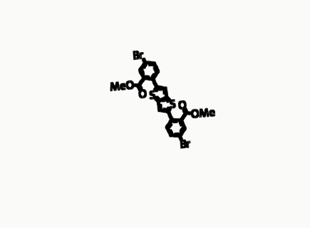 COC(=O)c1cc(Br)ccc1-c1cc2sc(-c3ccc(Br)cc3C(=O)OC)cc2s1